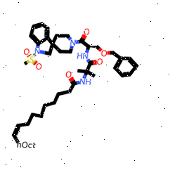 CCCCCCCC/C=C\CCCCCCCC(=O)NC(C)(C)C(=O)N[C@H](COCc1ccccc1)C(=O)N1CCC2(CC1)CN(S(C)(=O)=O)c1ccccc12